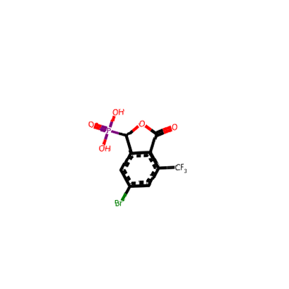 O=C1OC(P(=O)(O)O)c2cc(Br)cc(C(F)(F)F)c21